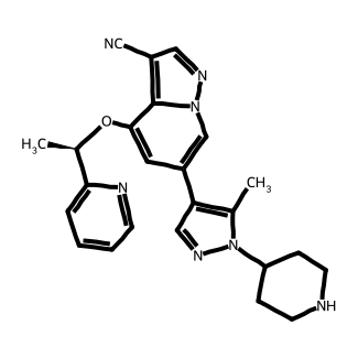 Cc1c(-c2cc(O[C@H](C)c3ccccn3)c3c(C#N)cnn3c2)cnn1C1CCNCC1